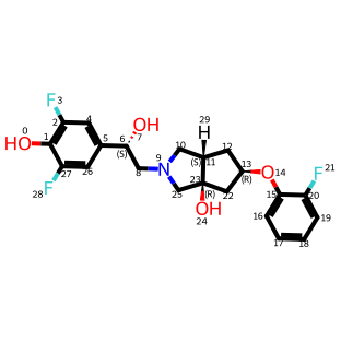 Oc1c(F)cc([C@H](O)CN2C[C@@H]3C[C@@H](Oc4ccccc4F)C[C@]3(O)C2)cc1F